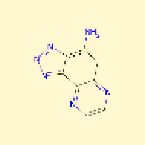 NC1=C2N=NN=C2c2nccnc2C1